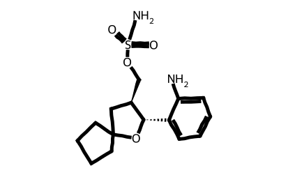 Nc1ccccc1[C@@H]1OC2(CCCC2)C[C@H]1COS(N)(=O)=O